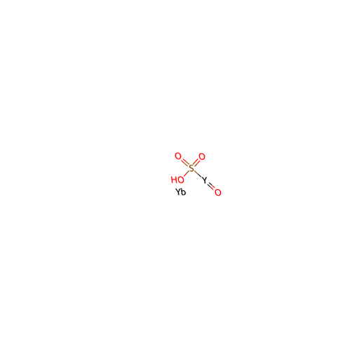 [O]=[Y][S](=O)(=O)O.[Yb]